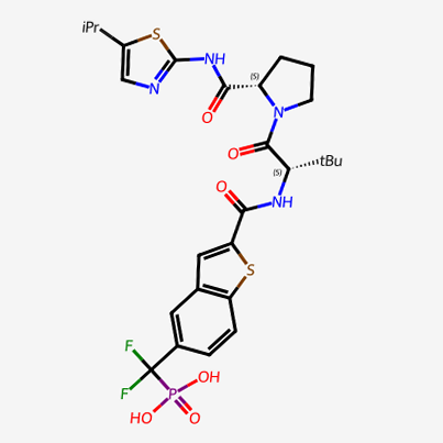 CC(C)c1cnc(NC(=O)[C@@H]2CCCN2C(=O)[C@@H](NC(=O)c2cc3cc(C(F)(F)P(=O)(O)O)ccc3s2)C(C)(C)C)s1